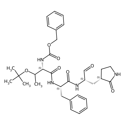 CC(OC(C)(C)C)[C@H](NC(=O)OCc1ccccc1)C(=O)N[C@@H](Cc1ccccc1)C(=O)N[C@H](C=O)C[C@@H]1CCNC1=O